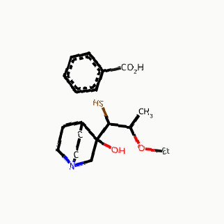 CCOC(C)C(S)C1(O)CN2CCC1CC2.O=C(O)c1ccccc1